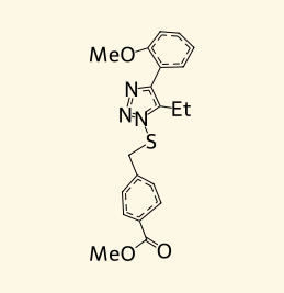 CCc1c(-c2ccccc2OC)nnn1SCc1ccc(C(=O)OC)cc1